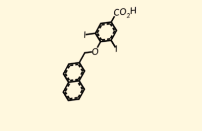 O=C(O)c1cc(I)c(OCc2ccc3ccccc3c2)c(I)c1